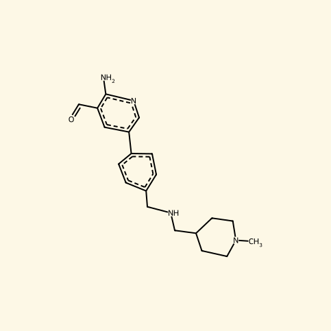 CN1CCC(CNCc2ccc(-c3cnc(N)c(C=O)c3)cc2)CC1